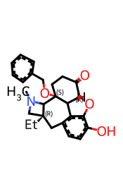 CC[C@]12Cc3ccc(O)c4c3C3[C@@H](O4)C(=O)CC[C@@]3(OCc3ccccc3)C1N(C)C2